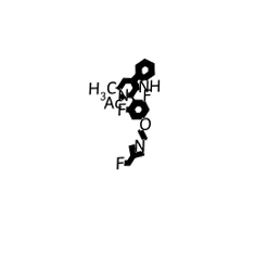 CC(=O)N1[C@H](c2c(F)cc(OCCN3CC(CF)C3)cc2F)c2[nH]c3ccccc3c2C[C@H]1C